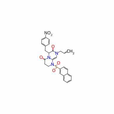 C=CCN1C=C2N(C(=O)CCN2S(=O)(=O)c2ccc3ccccc3c2)C(Cc2ccc([N+](=O)[O-])cc2)C1=O